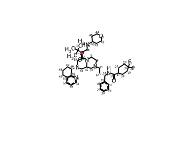 CC(C)(C)OC(=O)N1CCN(CC[C@H](NC(=O)C2CCC(F)(F)CC2)c2ccccc2)CC1CN(CCCCNC1CCOCC1)[C@H]1CCCc2cccnc21